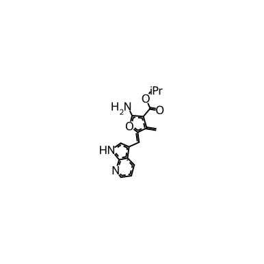 C=c1c(C(=O)OC(C)C)c(N)o/c1=C\c1c[nH]c2ncccc12